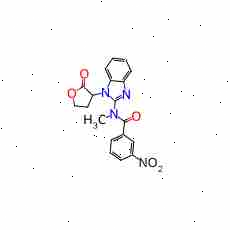 CN(C(=O)c1cccc([N+](=O)[O-])c1)c1nc2ccccc2n1C1CCOC1=O